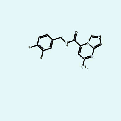 Cc1cc(C(=O)NCc2ccc(F)c(F)c2)n2cncc2n1